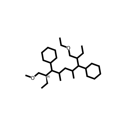 CCOCC(CC)C(C(C)CC(C)C(C1CCCCC1)[C@@H](CC)COC)C1CCCCC1